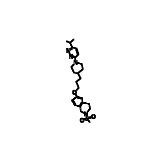 CC(C)c1ccc(N2CCC(CCCOc3ccc4c(c3)CCN(S(C)(=O)=O)C4)CC2)nn1